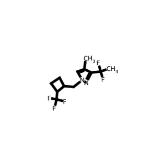 Cc1cn(CC2CCC2C(F)(F)F)nc1C(C)(F)F